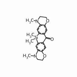 CN1CCOc2cc3c(cc21)[Si](C)(C)c1cc2c(cc1C3=O)OCCN2C